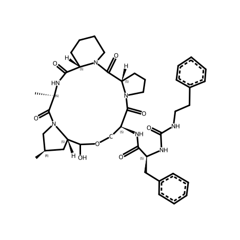 C[C@@H]1C[C@H]2C(O)OC[C@H](NC(=O)[C@H](Cc3ccccc3)NC(=O)NCCc3ccccc3)C(=O)N3CCC[C@H]3C(=O)N3CCCC[C@H]3C(=O)N[C@@H](C)C(=O)N2C1